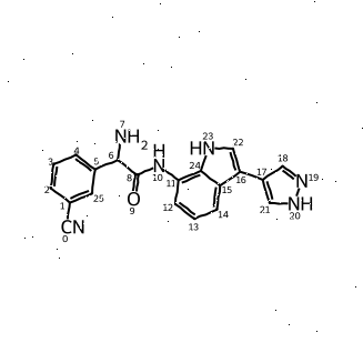 N#Cc1cccc(C(N)C(=O)Nc2cccc3c(-c4cn[nH]c4)c[nH]c23)c1